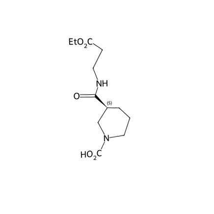 CCOC(=O)CCNC(=O)[C@H]1CCCN(C(=O)O)C1